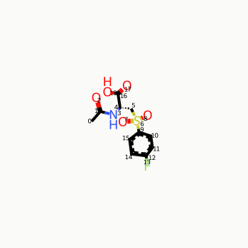 CC(=O)N[C@@H](CS(=O)(=O)c1ccc(F)cc1)C(=O)O